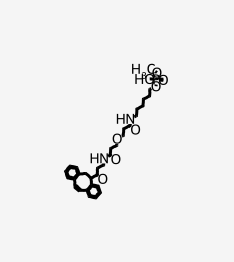 COP(=O)(O)OCCCCCCNC(=O)CCOCCC(=O)NCCC(=O)C1Cc2ccccc2C#Cc2ccccc21